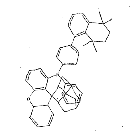 CC1(C)CCC(C)(C)c2c(-c3ccc(N(c4ccccc4)c4cccc5c4C4(C6C=CC=CC6O5)C5CC6CC7CC4C75C6)cc3)cccc21